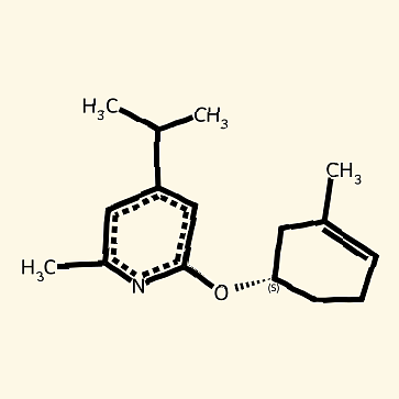 CC1=CCC[C@H](Oc2cc(C(C)C)cc(C)n2)C1